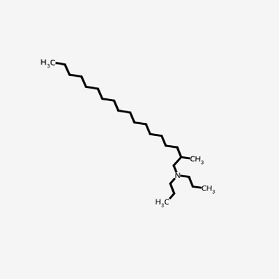 CCCCCCCCCCCCCCCCC(C)CN(CCC)CCC